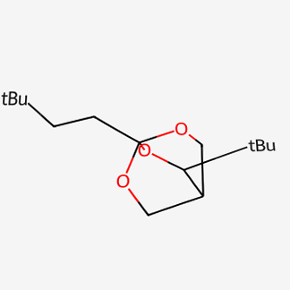 CC(C)(C)CCC12OCC(CO1)C(C(C)(C)C)O2